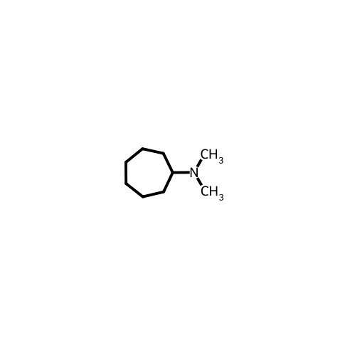 CN(C)C1CCCCCC1